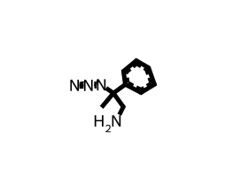 CC(CN)(N=[N+]=[N-])c1ccccc1